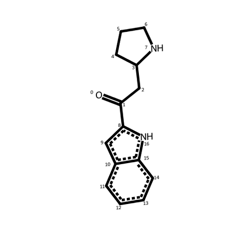 O=C(CC1CCCN1)c1cc2ccccc2[nH]1